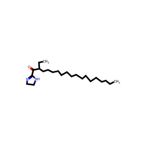 CCCCCCCCCCCCCCCCC(CC)C(=O)C1=NCCN1